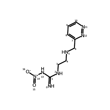 N=C(NCCNCc1cccnn1)N[N+](=O)[O-]